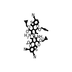 CC#CCOC(=O)C1=C(C)N(N2C(C)=C(C(=O)OC)C(c3csc4c(C#N)cc(C#N)cc34)C(C(=O)OCC3CC3)=C2N)C(N)=C(C(=O)OCC2CC2)C1c1csc2c(C#N)cccc12